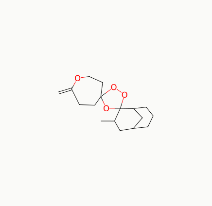 C=C1CCC2(CCO1)OOC1(O2)C(C)CC2CCCC1C2